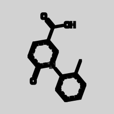 Cc1ccccc1-n1cc(C(=O)O)ccc1=O